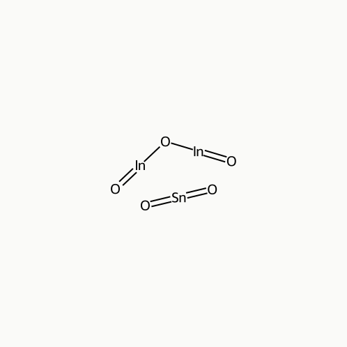 [O]=[In][O][In]=[O].[O]=[Sn]=[O]